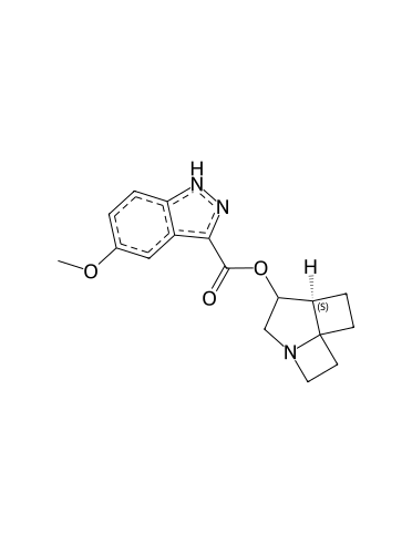 COc1ccc2[nH]nc(C(=O)OC3CN4CCC45CC[C@H]35)c2c1